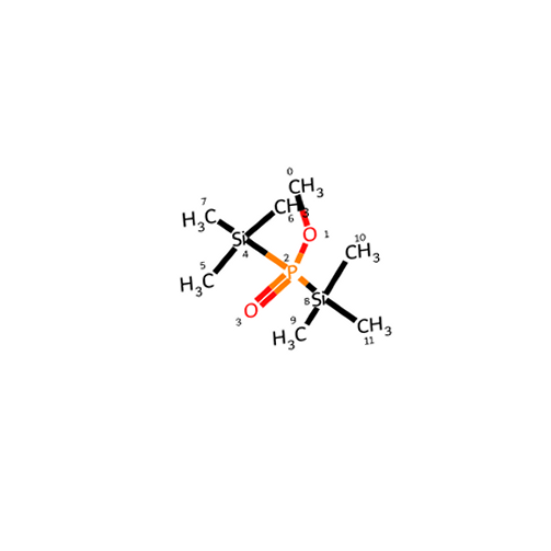 COP(=O)([Si](C)(C)C)[Si](C)(C)C